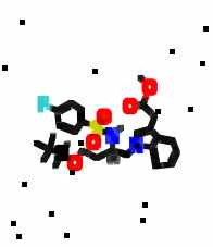 COC(=O)Cc1cn(C[C@@H](CCO[Si](C)(C)C(C)(C)C)N(C)S(=O)(=O)c2ccc(F)cc2)c2ccccc12